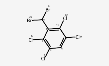 Clc1cc(Cl)c(Cl)c(C(Br)Br)c1Cl